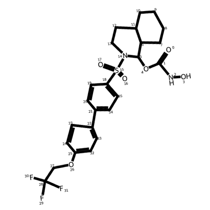 O=C(NO)OC1C2CCCCC2CCN1S(=O)(=O)c1ccc(-c2ccc(OCC(F)(F)F)cc2)cc1